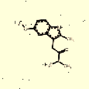 COc1ccc2[nH]c(C)c(CC(=O)C(C)C)c2c1